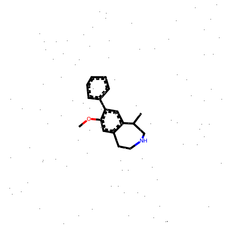 COc1cc2c(cc1-c1ccccc1)C(C)CNCC2